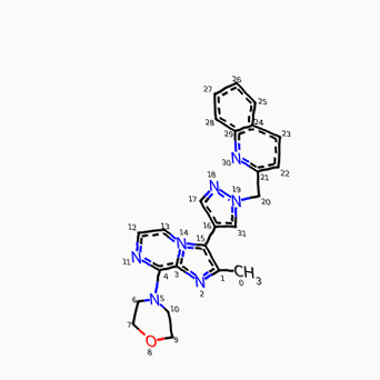 Cc1nc2c(N3CCOCC3)nccn2c1-c1cnn(Cc2ccc3ccccc3n2)c1